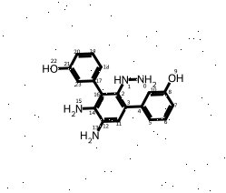 NNc1c(-c2cccc(O)c2)cc(N)c(N)c1-c1cccc(O)c1